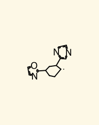 [CH]1CCC(c2ncco2)CC1c1cnccn1